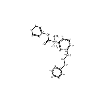 C[N+](C)(C(=O)OC1=CC[CH]C=C1)c1cc(NCCc2ccccc2)ncn1